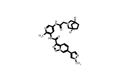 Cc1ncc(NC(=O)CN2C[C@@H]3CC[C@@H](C3)C2)cc1NC(=O)c1nnn2cc(-c3cnn(C)c3)ccc12